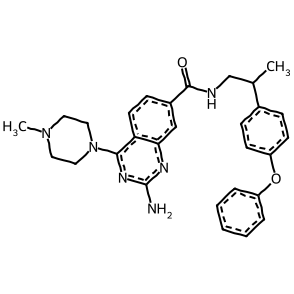 CC(CNC(=O)c1ccc2c(N3CCN(C)CC3)nc(N)nc2c1)c1ccc(Oc2ccccc2)cc1